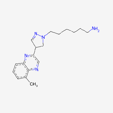 Cc1cccc2nc(C3C=NN(CCCCCCN)C3)cnc12